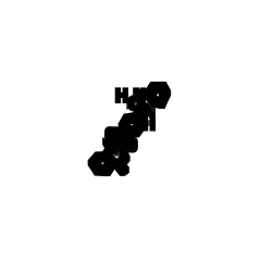 C=C1CN(S(=O)(=O)c2ccc(C(=O)Nc3ccccc3N)cc2)C(CC#N)c2ccccc21